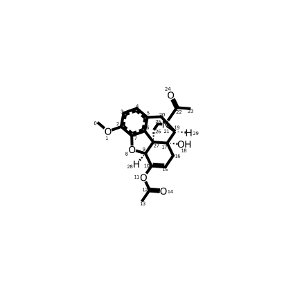 COc1ccc2c3c1O[C@@H]1C(OC(C)=O)=CC[C@]4(O)[C@H](C2)N(C(C)=O)CC[C@@]314